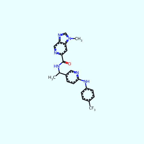 CC(NC(=O)c1cc2c(cn1)ncn2C)c1ccc(Nc2ccc(C(F)(F)F)cc2)nc1